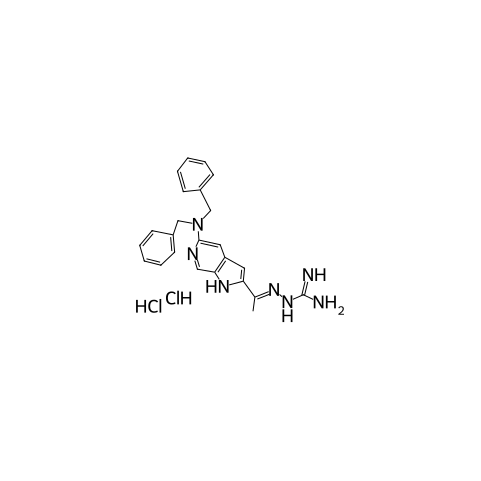 CC(=NNC(=N)N)c1cc2cc(N(Cc3ccccc3)Cc3ccccc3)ncc2[nH]1.Cl.Cl